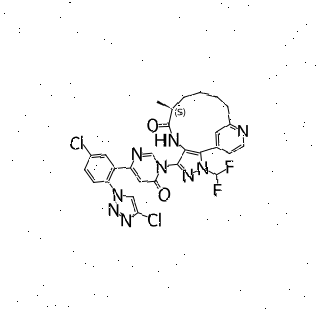 C[C@H]1CCCCc2cc(ccn2)-c2c(c(-n3cnc(-c4cc(Cl)ccc4-n4cc(Cl)nn4)cc3=O)nn2C(F)F)NC1=O